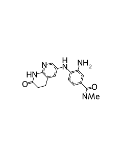 CNC(=O)c1ccc(Nc2cnc3c(c2)CCC(=O)N3)c(N)c1